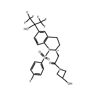 O=C(C[C@@H]1CCc2cc(C(O)(C(F)(F)F)C(F)(F)F)ccc2N1S(=O)(=O)c1ccc(F)cc1)N1CC(O)C1